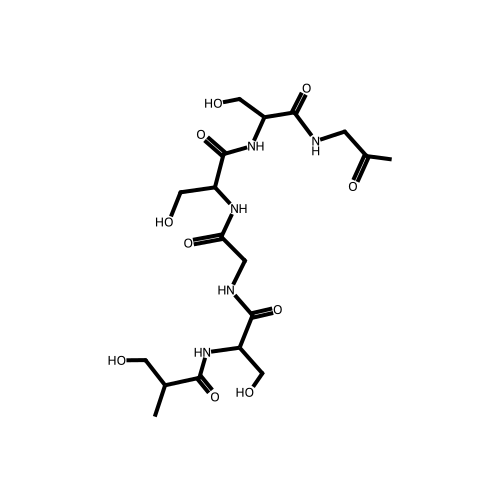 CC(=O)CNC(=O)C(CO)NC(=O)C(CO)NC(=O)CNC(=O)C(CO)NC(=O)C(C)CO